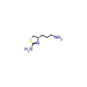 NCCC[C@@H]1CSC(N)=N1